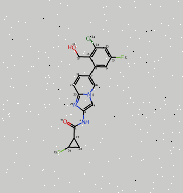 O=C(Nc1cn2cc(-c3cc(F)cc(Cl)c3CO)ccc2n1)C1CC1F